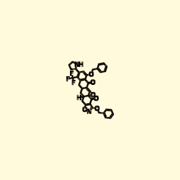 O=C1C2=C3O[C@]34C(=O)c3c(OCc5ccccc5)noc3C[C@@H]4CC2Cc2c1c(OCc1ccccc1)cc(C1CCCN1)c2C(F)(F)F